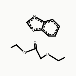 CCOCC(=O)OCC.c1ccc2scnc2c1